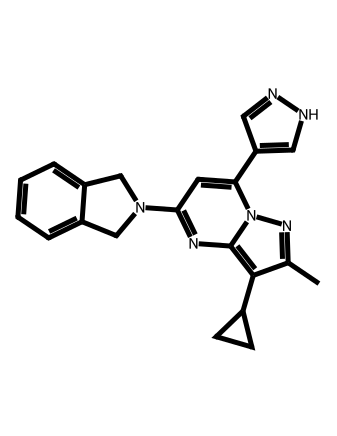 Cc1nn2c(-c3cn[nH]c3)cc(N3Cc4ccccc4C3)nc2c1C1CC1